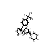 FC(F)(F)c1ccc(C2C3CCC(CC3)C23CCC(N2CCCCC2)=N3)cc1